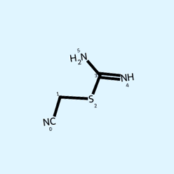 N#CCSC(=N)N